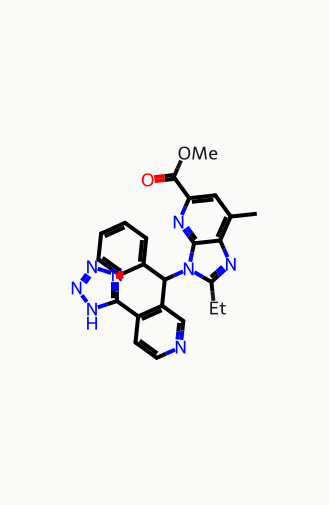 CCc1nc2c(C)cc(C(=O)OC)nc2n1C(c1ccccc1)c1cnccc1-c1nnn[nH]1